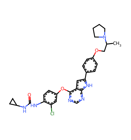 CC(COc1ccc(-c2cc3c(Oc4ccc(NC(=O)NC5CC5)c(Cl)c4)ncnc3[nH]2)cc1)N1CCCC1